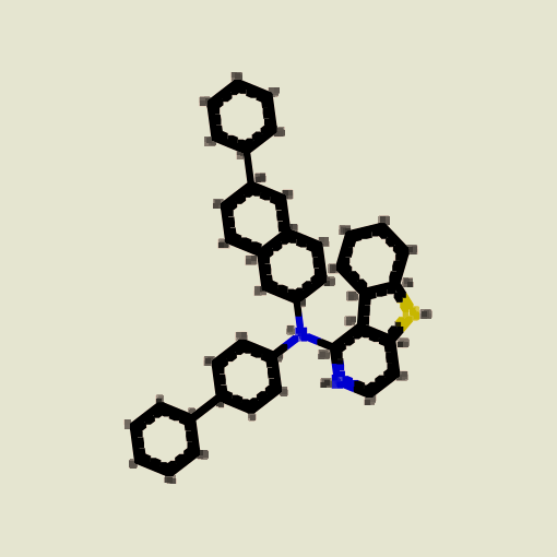 c1ccc(-c2ccc(N(c3ccc4cc(-c5ccccc5)ccc4c3)c3nccc4sc5ccccc5c34)cc2)cc1